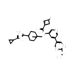 CCOc1ncc(-c2cncc(N(CC34CCC(c5nc(C6CC6)no5)(CC3)CC4)C(=O)C34CC(F)(C3)C4)c2)cn1